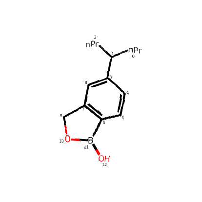 CCCC(CCC)c1ccc2c(c1)COB2O